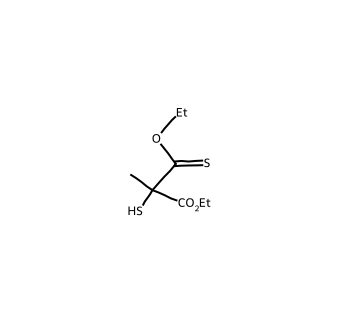 CCOC(=O)C(C)(S)C(=S)OCC